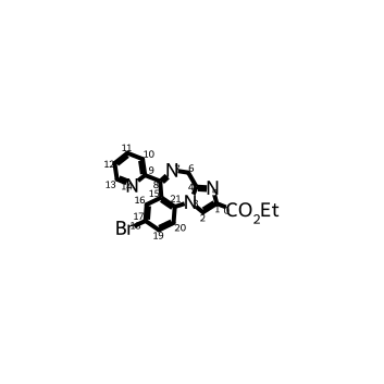 CCOC(=O)c1cn2c(n1)CN=C(c1ccccn1)c1cc(Br)ccc1-2